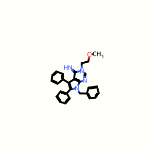 COCCn1cnc2c(c(-c3ccccc3)c(-c3ccccc3)n2Cc2ccccc2)c1=N